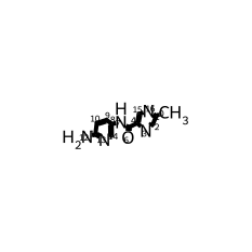 Cc1cnc(C(=O)Nc2ccc(N)nc2)cn1